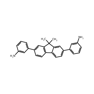 CC1(C)c2cc(-c3cccc(N)c3)ccc2-c2ccc(-c3cccc(N)c3)cc21